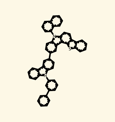 c1ccc(-c2cccc(-n3c4ccccc4c4cc(-c5ccc6c(c5)c5c7sc8ccccc8c7ccc5n6-c5cccc6ccccc56)ccc43)c2)cc1